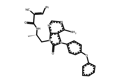 CC(C)C=C(C#N)C(=O)N[C@@H](C)Cn1c(=O)n(-c2ccc(Oc3ccccc3)cc2)c2c(N)ncnc21